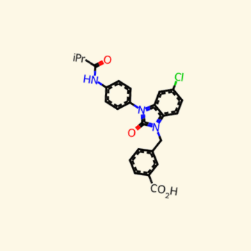 CC(C)C(=O)Nc1ccc(-n2c(=O)n(Cc3cccc(C(=O)O)c3)c3ccc(Cl)cc32)cc1